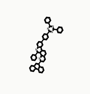 c1ccc(-c2nc(-c3ccccc3)nc(-c3ccc(-c4ccc5nc(-c6ccccc6)c6c(ccc7ccc(-c8cc9ccccc9c9ccccc89)nc76)c5c4)cc3)n2)cc1